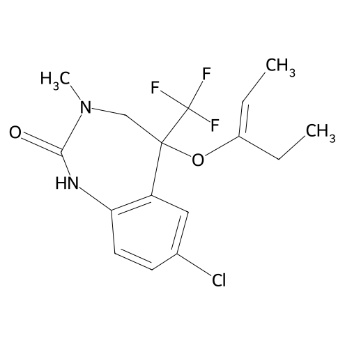 CC=C(CC)OC1(C(F)(F)F)CN(C)C(=O)Nc2ccc(Cl)cc21